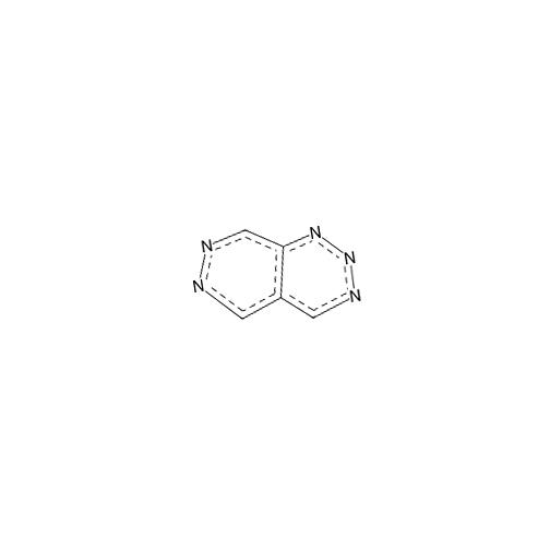 c1nncc2nnncc12